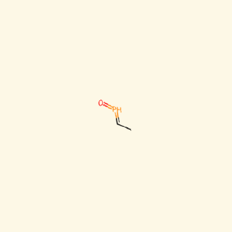 CC=[PH]=O